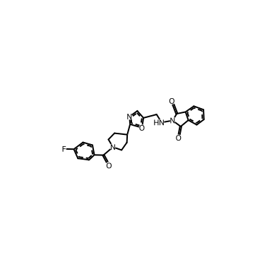 O=C(c1ccc(F)cc1)N1CCC(c2ncc(CNN3C(=O)c4ccccc4C3=O)o2)CC1